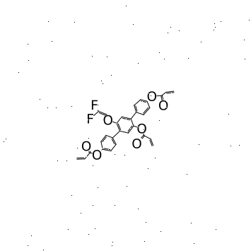 C=CC(=O)Oc1ccc(-c2cc(OC(=O)C=C)c(-c3ccc(OC(=O)C=C)cc3)cc2OC=C(F)F)cc1